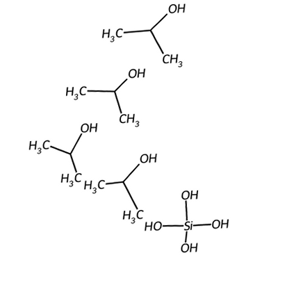 CC(C)O.CC(C)O.CC(C)O.CC(C)O.O[Si](O)(O)O